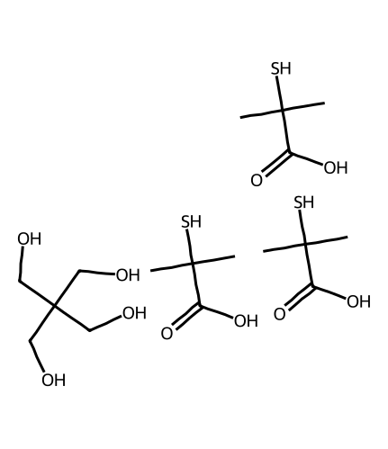 CC(C)(S)C(=O)O.CC(C)(S)C(=O)O.CC(C)(S)C(=O)O.OCC(CO)(CO)CO